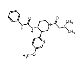 COc1ccc([C@@H]2CN(C(=O)CN(C)C)CC[C@H]2NC(=O)Nc2ccccc2)nc1